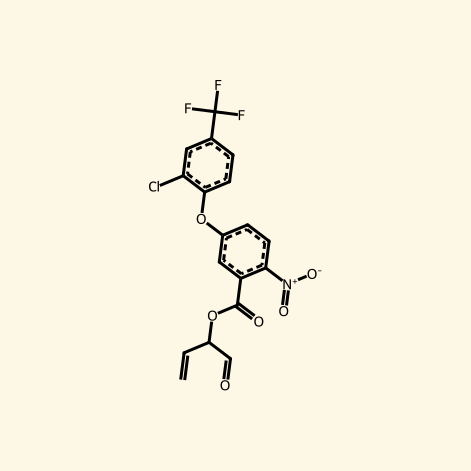 C=CC(C=O)OC(=O)c1cc(Oc2ccc(C(F)(F)F)cc2Cl)ccc1[N+](=O)[O-]